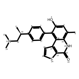 Cc1cc(O)c(-c2ccc([C@H](C)CN(C)C)cc2)c2c1[nH]c(=O)c1sccc12